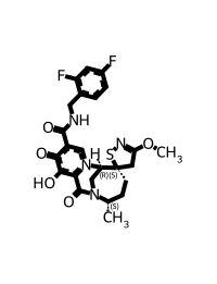 COC1=NS[C@@]2(CC[C@H](C)N3C[C@H]2n2cc(C(=O)NCc4ccc(F)cc4F)c(=O)c(O)c2C3=O)C1